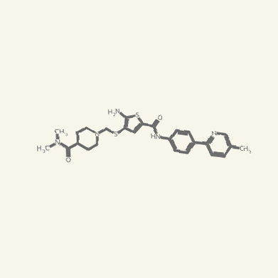 Cc1ccc(-c2ccc(NC(=O)c3cc(SCN4CCC(C(=O)N(C)C)CC4)c(N)s3)cc2)nc1